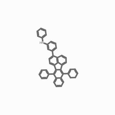 C1=CCCC(c2c3c(c(-c4ccccc4)c4ccccc24)-c2ccc(-c4cccc(Nc5ccccc5)c4)c4cccc-3c24)=C1